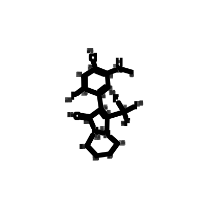 CNc1cc(-c2c(C(F)(F)F)n3n(c2=O)CCCC3)c(F)cc1Cl